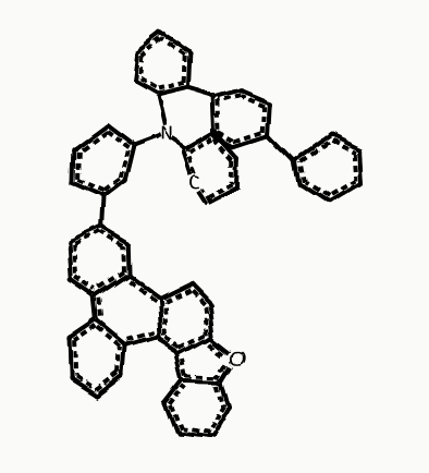 c1ccc(-c2ccc(-c3ccccc3N(c3ccccc3)c3cccc(-c4ccc5c6ccccc6c6c(ccc7oc8ccccc8c76)c5c4)c3)cc2)cc1